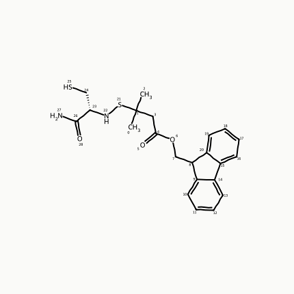 CC(C)(CC(=O)OCC1c2ccccc2-c2ccccc21)SN[C@@H](CS)C(N)=O